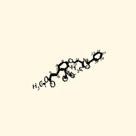 CCOC(=O)C=Cc1ccc(OCCc2nc(-c3ccccc3)oc2C)cc1[N+](=O)[O-]